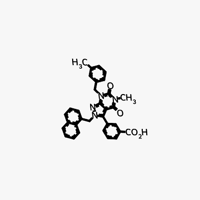 Cc1cccc(Cn2c(=O)n(C)c(=O)c3c(-c4cccc(C(=O)O)c4)n(Cc4cccc5ccccc45)nc32)c1